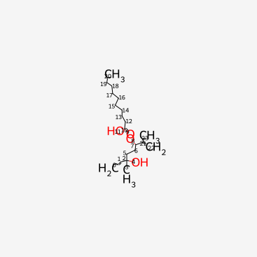 C=CC(C)(O)CCC(OOC(O)CCCCCCCCC)C(=C)C